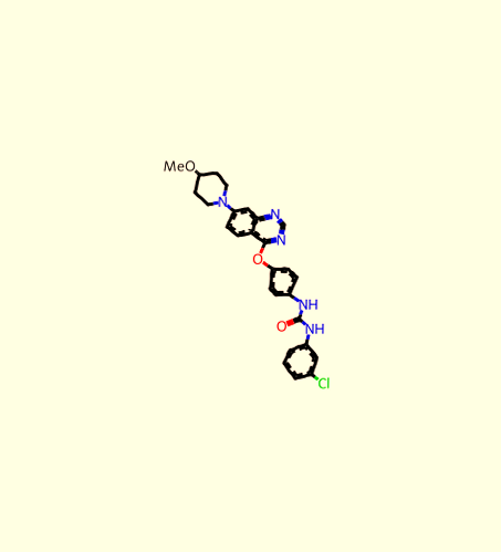 COC1CCN(c2ccc3c(Oc4ccc(NC(=O)Nc5cccc(Cl)c5)cc4)ncnc3c2)CC1